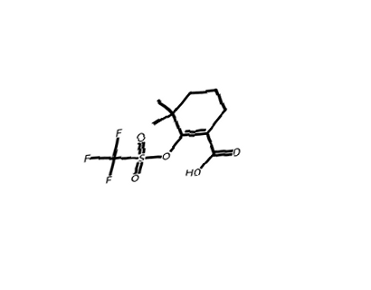 CC1(C)CCCC(C(=O)O)=C1OS(=O)(=O)C(F)(F)F